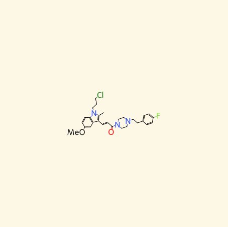 COc1ccc2c(c1)c(C=CC(=O)N1CCN(CCc3ccc(F)cc3)CC1)c(C)n2CCCCl